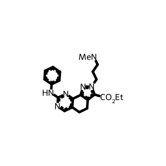 CCOC(=O)c1c2c(nn1CCCNC)-c1nc(Nc3ccccc3)ncc1CC2